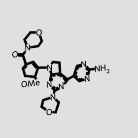 COC1CC=C(C(=O)N2CCOCC2)C=C1N1CCc2c(-c3cnc(N)nc3)nc(N3CCOCC3)nc21